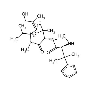 CN[C@H](C(=O)N[C@H](C(=O)N(C)[C@H](C=C(C)CO)C(C)C)C(C)(C)C)C(C)(C)c1ccccc1